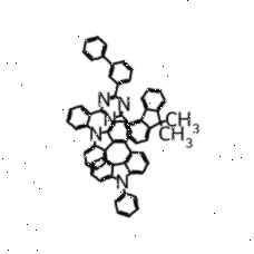 CC1(C)c2ccccc2-c2c(-c3nc(-c4cccc(-c5ccccc5)c4)nc(-c4ccccc4-n4c5ccccc5c5c(-c6cccc7c6c6ccccc6n7-c6ccccc6)cccc54)n3)cccc21